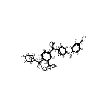 CN(c1ccc(Cl)cc1)c1ccc(C(=O)c2ccc(C(=O)C3CC4CCC3C4)c(C(=O)O)c2)nc1